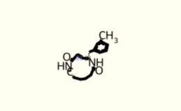 Cc1cccc(C[C@H]2/C=C/C(=O)NCCCCCC(=O)N2)c1